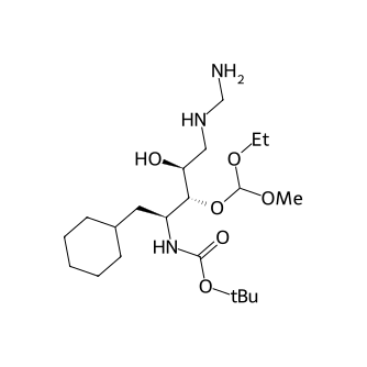 CCOC(OC)O[C@H]([C@H](CC1CCCCC1)NC(=O)OC(C)(C)C)[C@@H](O)CNCN